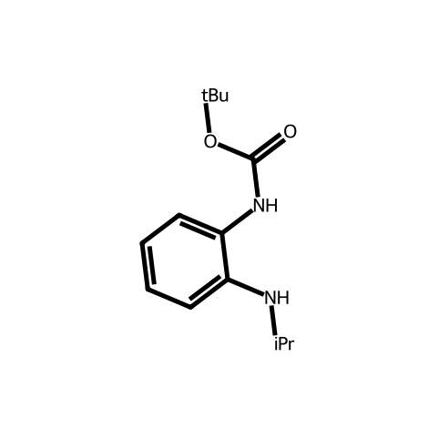 CC(C)Nc1ccccc1NC(=O)OC(C)(C)C